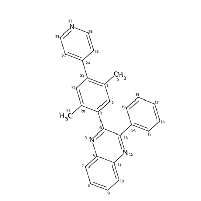 Cc1cc(-c2nc3ccccc3nc2-c2ccccc2)c(C)cc1-c1ccncc1